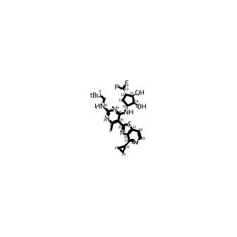 Cc1nc(NCC(C)(C)C)nc(N[C@@H]2C[C@H](C(F)F)[C@@H](O)[C@H]2O)c1-c1nc2c(C3CC3)nccc2s1